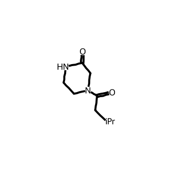 CC(C)CC(=O)N1CCNC(=O)C1